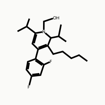 CCCCCC1=C(c2ccc(F)cc2F)C=C(C(C)C)N(CO)C1C(C)C